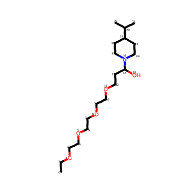 CCOCCOCCOCCOCCC(O)N1CCC(C(C)C)CC1